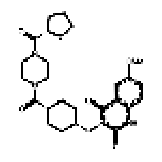 COc1ccc2[nH]c(=O)n(C[C@H]3CC[C@H](C(=O)N4CCN(C(=O)[C@@H]5CCCO5)CC4)CC3)c(=O)c2c1